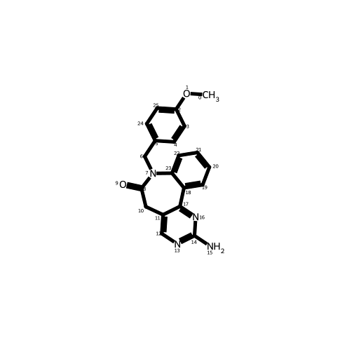 COc1ccc(CN2C(=O)Cc3cnc(N)nc3-c3ccccc32)cc1